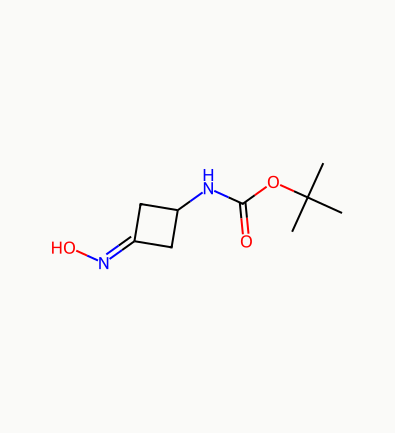 CC(C)(C)OC(=O)NC1CC(=NO)C1